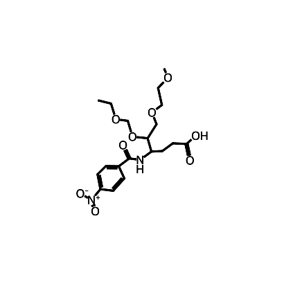 CCOCOC(COCCOC)C(CCC(=O)O)NC(=O)c1ccc([N+](=O)[O-])cc1